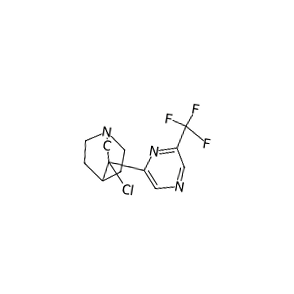 FC(F)(F)c1cncc(C2(Cl)CN3CCC2CC3)n1